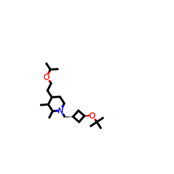 CC(C)OCCC1CCN(C[C@H]2C[C@H](OC(C)(C)C)C2)C(C)C1C